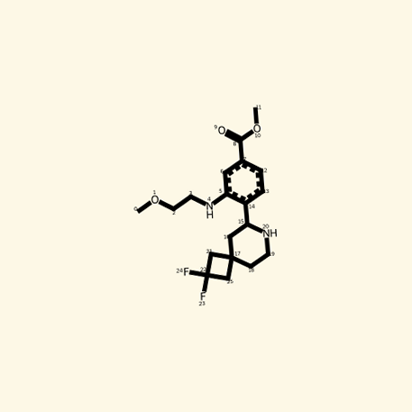 COCCNc1cc(C(=O)OC)ccc1C1CC2(CCN1)CC(F)(F)C2